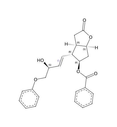 O=C1C[C@@H]2[C@@H](/C=C/[C@H](O)COc3ccccc3)[C@H](OC(=O)c3ccccc3)C[C@@H]2O1